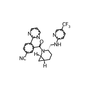 N#Cc1ccc(-c2ncccn2)c(C(=O)N2[C@H](CNc3ccc(C(F)(F)F)cn3)CC[C@@H]3C[C@@H]32)c1